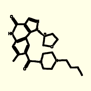 CCCCN1CCN(C(=O)c2cc3c(cc2C)[nH]c(=O)c2cnn([C@H]4CCOC4)c23)CC1